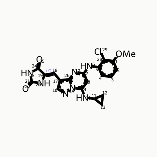 COc1cccc(Nc2cc(NC3CC3)n3ncc(/C=C4\NC(=O)NC4=O)c3n2)c1Cl